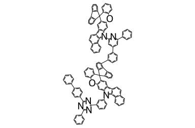 c1ccc(-c2ccc(-c3nc(-c4ccccc4)nc(-c4cccc(-n5c6cc7c(cc6c6ccc8ccccc8c65)C5(c6ccccc6O7)c6ccccc6-c6c(-c7cccc(-c8cc(-c9ccccc9)nc(-n9c%10cc%11c(cc%10c%10ccc%12ccccc%12c%109)C9(c%10ccccc%10O%11)c%10ccccc%10-c%10ccccc%109)c8)c7)cccc65)c4)n3)cc2)cc1